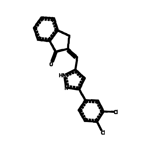 O=C1C(=Cc2cc(-c3ccc(Cl)c(Cl)c3)n[nH]2)Cc2ccccc21